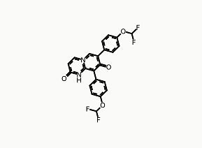 O=c1ccn2cc(-c3ccc(OC(F)F)cc3)c(=O)c(-c3ccc(OC(F)F)cc3)c2[nH]1